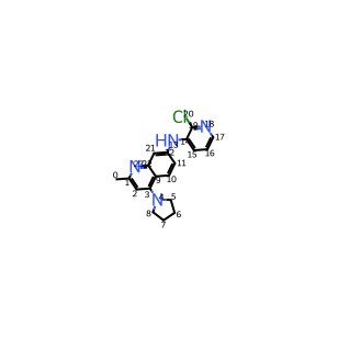 Cc1cc(N2CCCC2)c2ccc(Nc3cccnc3Cl)cc2n1